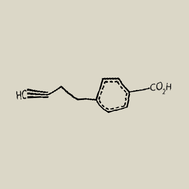 C#CCCc1ccc(C(=O)O)cc1